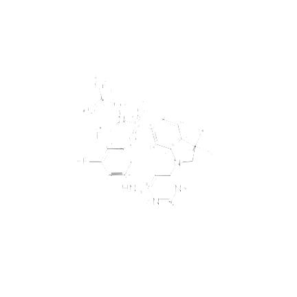 CN(OC(=O)C(F)(F)F)S(=O)(=O)c1ccc2c(c1)N(c1cc(Nc3ccc(F)c(F)c3)ncn1)CC2(C)C